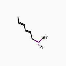 CC=CC=CCP(C(C)C)C(C)C